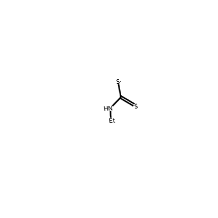 CCNC([S])=S